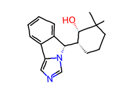 CC1(C)CCC[C@H]([C@H]2c3ccccc3-c3cncn32)[C@@H]1O